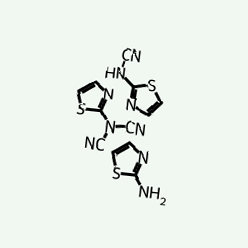 N#CN(C#N)c1nccs1.N#CNc1nccs1.Nc1nccs1